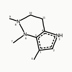 Cc1c[nH]c2c1N(C)N(C)CC2